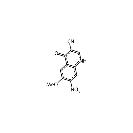 COc1cc2c(=O)c(C#N)c[nH]c2cc1[N+](=O)[O-]